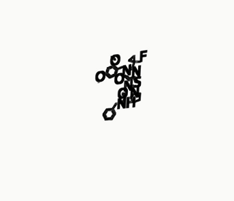 COc1ccc(Cn2c(C3(CF)CC3)nc3sc(N4CCC[C@@H]4C(=O)NCc4ccccc4)nc3c2=O)c(OC)c1